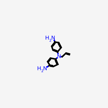 C=CCN(c1ccc(N)cc1)c1ccc(N)cc1